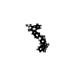 CN(C)C(=O)c1cc2cnc(Nc3ccc(C(=O)N4C5CC[C@H]4CC(O)C5)cn3)nc2n1C1CCCC1